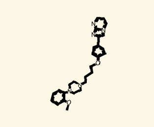 COc1ccccc1N1CCN(CCCCOc2ccc(-c3cn4cccnc4n3)cc2)CC1